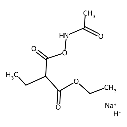 CCOC(=O)C(CC)C(=O)ONC(C)=O.[H-].[Na+]